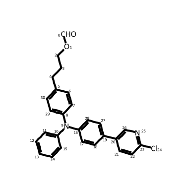 O=COCCCc1ccc(N(c2ccccc2)c2ccc(-c3ccc(Cl)nc3)cc2)cc1